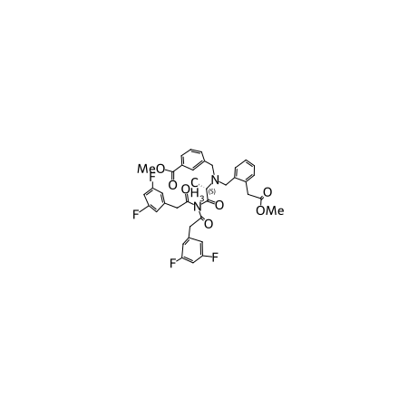 COC(=O)Cc1ccccc1CN(Cc1cccc(C(=O)OC)c1)[C@@H](C)C(=O)N(C(=O)Cc1cc(F)cc(F)c1)C(=O)Cc1cc(F)cc(F)c1